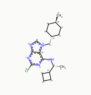 C[C@@H](Nc1nc(Cl)nc2ncn(C[C@H]3CC[C@H](C)CC3)c12)C1CCC1